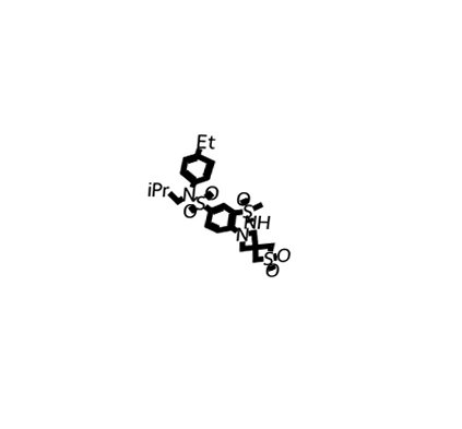 CCc1ccc(N(CC(C)C)S(=O)(=O)c2ccc(N3CC4(C3)CS(=O)(=O)C4)c(S(C)(=N)=O)c2)cc1